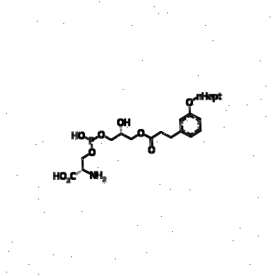 CCCCCCCOc1cccc(CCC(=O)OC[C@@H](O)COP(O)OC[C@H](N)C(=O)O)c1